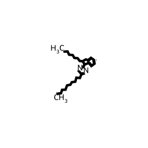 CCCCCCCCCCCc1cnc(C2c3cc[c]cc3CC2CCCCCCCC)nc1